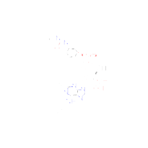 C#C[C@@]1(O)[C@@H](COC(Cc2ccc(N3CCCN(C)C3=O)cc2)(C(=O)O)C(=O)O)O[C@@H](n2cnc3c(NCC4CC4)nc(Cl)nc32)[C@@H]1O